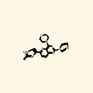 Cc1nc(-c2ccc3nc(-n4ccnc4)nc(N4CCOCC4)c3n2)c[nH]1